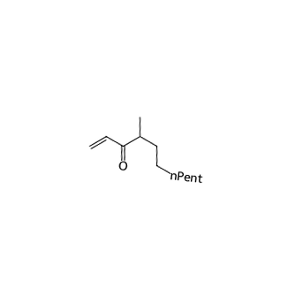 C=CC(=O)C(C)CCCCCCC